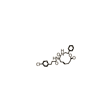 O=C(CCc1ccc(Cl)cc1)N[C@@H]1C/C=C/CCC(=O)OC(c2ccccc2)CNC1=O